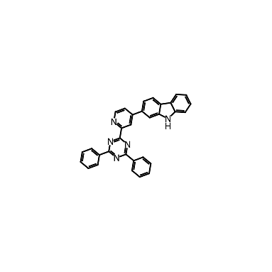 c1ccc(-c2nc(-c3ccccc3)nc(-c3cc(-c4ccc5c(c4)[nH]c4ccccc45)ccn3)n2)cc1